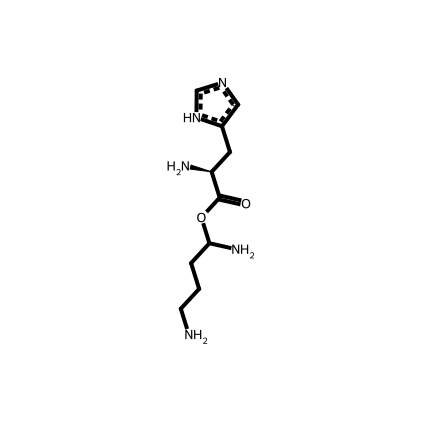 NCCCC(N)OC(=O)[C@@H](N)Cc1cnc[nH]1